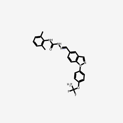 Cc1cccc(C)c1NC(=O)N/N=C/c1ccc2c(cnn2-c2ccc(OC(F)(F)P)cc2)c1